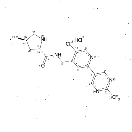 Cl.O=C(NCc1cc(-c2cnc(C(F)(F)F)nc2)ncc1Cl)[C@@H]1C[C@@H](F)CN1